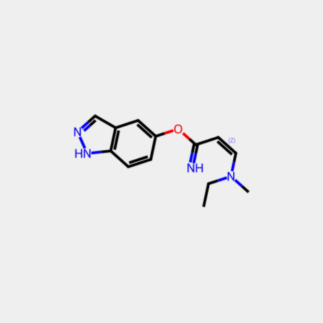 CCN(C)/C=C\C(=N)Oc1ccc2[nH]ncc2c1